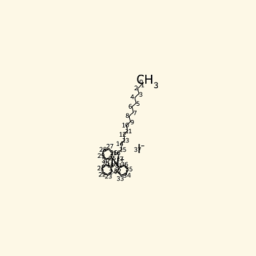 CCCCCCCCCCCCCCCCCC[N+](c1ccccc1)(c1ccccc1)c1ccccc1.[I-]